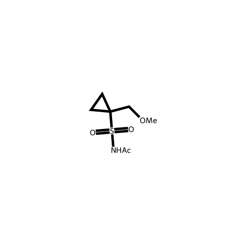 COCC1(S(=O)(=O)NC(C)=O)CC1